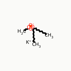 C=CCOP(=O)([O-])OC(CCCCCCCC)CCCCCCCCC.[K+]